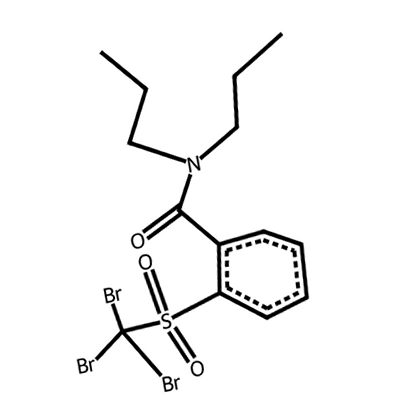 CCCN(CCC)C(=O)c1ccccc1S(=O)(=O)C(Br)(Br)Br